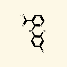 CC(=O)c1cccnc1Nc1ccc(Cl)cc1C